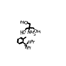 CCCN(CCC)c1ccccc1C.NC(CO)(CO)CO